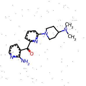 CN(C)C1CCN(c2cccc(C(=O)c3cccnc3N)n2)CC1